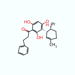 CC1=C[C@H](c2c(O)cc(O)c(C(=O)CCc3ccccc3)c2O)[C@@H](C(C)C)CC1